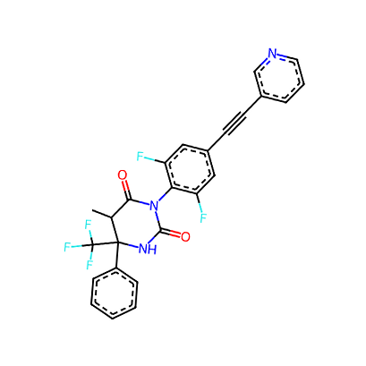 CC1C(=O)N(c2c(F)cc(C#Cc3cccnc3)cc2F)C(=O)NC1(c1ccccc1)C(F)(F)F